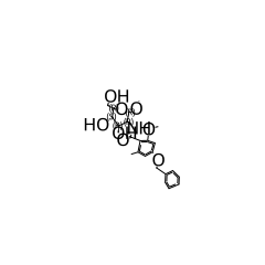 COc1cc(OCc2ccccc2)cc(C)c1C(=O)N[C@H]1[C@H](OC)O[C@H](CO)[C@@H](O)[C@@H]1O